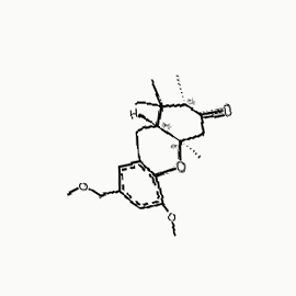 COCc1cc2c(c(OC)c1)O[C@]1(C)CC(=O)[C@@H](C)C(C)(C)[C@H]1C2